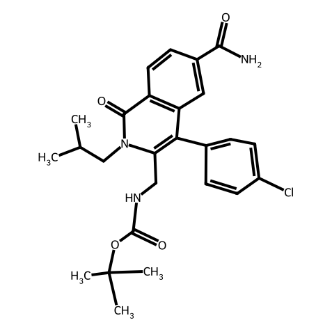 CC(C)Cn1c(CNC(=O)OC(C)(C)C)c(-c2ccc(Cl)cc2)c2cc(C(N)=O)ccc2c1=O